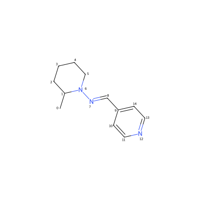 CC1CCCCN1/N=C/c1ccncc1